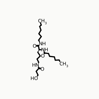 CCCCCCCNC(=O)[C@H](CCCCNC(=O)CCO)NC(=O)CCCCCC